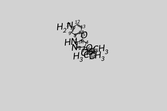 CC(C#N)(C[C@H]1CNc2cc(N)ccc2O1)O[Si](C)(C)C